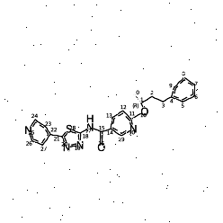 C[C@H](CCc1ccccc1)Oc1ccc(C(=O)Nc2nnc(-c3ccncc3)s2)cn1